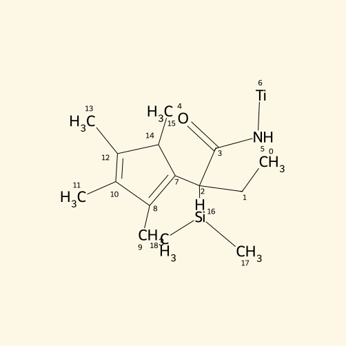 CCC(C(=O)[NH][Ti])(C1=C(C)C(C)=C(C)C1C)[SiH](C)C